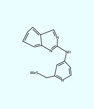 CSCc1cc(Nc2ncc3ccccc3n2)ccn1